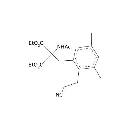 CCOC(=O)C(Cc1cc(C)cc(C)c1CCC#N)(NC(C)=O)C(=O)OCC